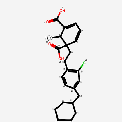 CC1C(C(=O)O)=CC=CC1(CCc1ccc(CC2CCCCC2)cc1Cl)C(=O)O